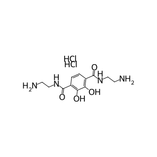 Cl.Cl.NCCNC(=O)c1ccc(C(=O)NCCN)c(O)c1O